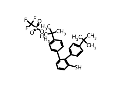 CC(C)(C)c1ccc(-c2cccc(S)c2-c2ccc(C(C)(C)C)cc2)cc1.O=S(=O)(O)C(F)(F)F